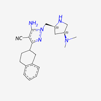 CN(C)[C@@H]1CN[C@H](Cn2nc(C3CCc4ccccc4C3)c(C#N)c2N)C1